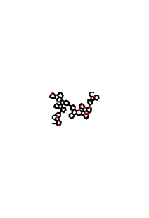 c1ccc2c(c1)-c1cccc3c4c(cc-2c13)C1(c2ccccc2-c2c(-c3ccc5sc6ccccc6c5c3)cccc21)c1cc(-c2ccc3c(c2)c2ccccc2c2cc5c(cc32)C2(c3ccccc3-5)c3ccccc3-c3c(-c5ccc6sc7ccccc7c6c5)cccc32)ccc1-4